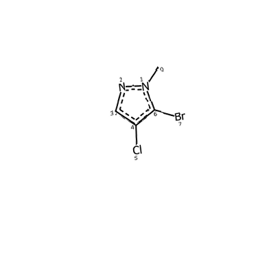 Cn1n[c]c(Cl)c1Br